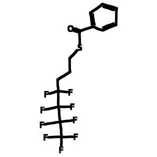 O=C(SCCCC(F)(F)C(F)(F)C(F)(F)C(F)(F)F)c1ccccc1